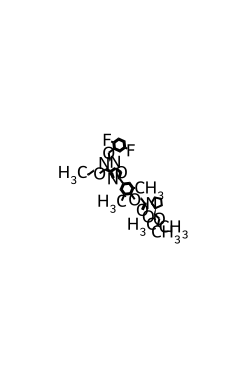 CCCOc1nc(Oc2cc(F)ccc2F)nc2oc(-c3cc(C)c(OCC(=O)N4CCC[C@H]4C(=O)OC(C)(C)C)c(C)c3)nc12